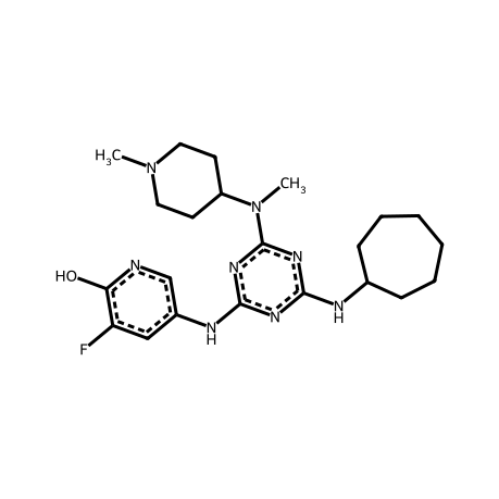 CN1CCC(N(C)c2nc(Nc3cnc(O)c(F)c3)nc(NC3CCCCCC3)n2)CC1